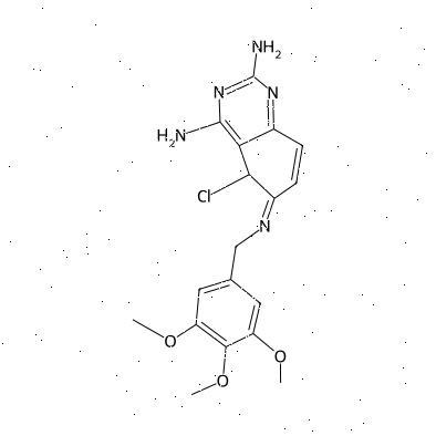 COc1cc(CN=C2C=Cc3nc(N)nc(N)c3C2Cl)cc(OC)c1OC